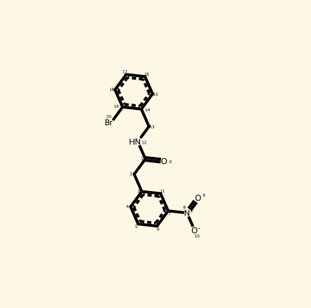 O=C(Cc1cccc([N+](=O)[O-])c1)NCc1ccccc1Br